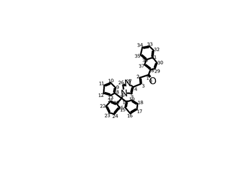 O=C(C=Cc1cn(C(c2ccccc2)(c2ccccc2)c2ccccc2)cn1)c1ccc2ccccc2c1